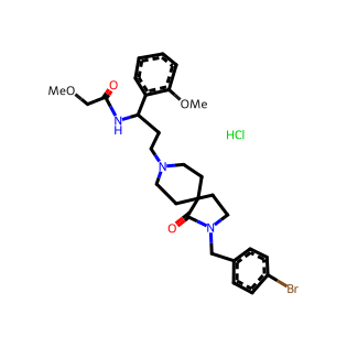 COCC(=O)NC(CCN1CCC2(CC1)CCN(Cc1ccc(Br)cc1)C2=O)c1ccccc1OC.Cl